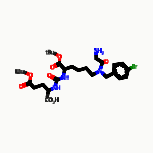 CC(C)(C)OC(=O)CCC(NC(=O)NC(CCCCN(Cc1ccc(Br)cc1)C(=O)CN)C(=O)OC(C)(C)C)C(=O)O